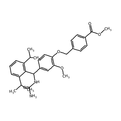 COC(=O)c1ccc(COc2ccc(C(NC(N)=O)c3c(C(C)C)cccc3C(C)C)cc2OC)cc1